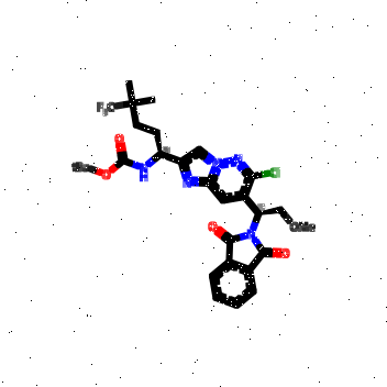 COC[C@H](c1cc2nc([C@H](CCC(C)(C)C(F)(F)F)NC(=O)OC(C)(C)C)cn2nc1Cl)N1C(=O)c2ccccc2C1=O